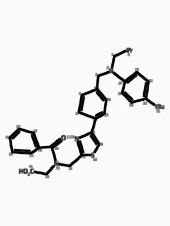 CC(C)CN(Cc1ccc(-c2csc(CN(CC(=O)O)C(=O)c3ccccc3)n2)cc1)c1ccc(C(C)(C)C)cc1